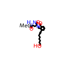 COC(=O)CCC(C(N)=O)N1Cc2c(C#CCCCCCCO)cccc2C1=O